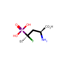 CC[C@@](F)(C[C@H](N)C(=O)O)P(=O)(O)O